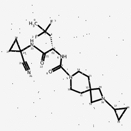 CC(F)(F)C[C@H](NC(=O)N1CCC2(CC1)CN(C1CC1)C2)C(=O)NC1(C#N)CC1